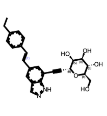 CCc1ccc(/C=C/c2cc(C#C[C@H]3O[C@H](CO)[C@@H](O)[C@H](O)[C@@H]3O)c3[nH]ncc3c2)cc1